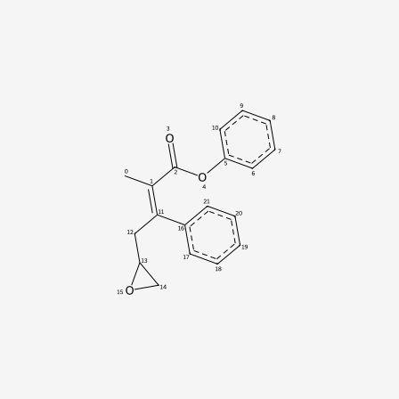 CC(C(=O)Oc1ccccc1)=C(CC1CO1)c1ccccc1